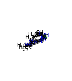 C=CCCC1=Cc2cc(Nc3nc(N4CCN(CC5CCN(c6ccc7c(C(C=C)CCC(=C)NC)nn(C)c7c6)C5)CC4)ncc3Cl)ccc2N(C)C1=C